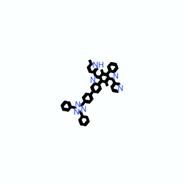 Cc1c2c(-c3cccnc3)nc3ccccc3c2c(C)c2c(C3=CNC(C)C=C3)nc3cc(-c4ccc(-c5nc(-c6ccccc6)nc(C6C=CC=CC6)n5)cc4)ccc3c12